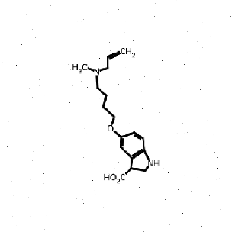 C=CCN(C)CCCCOc1ccc2c(c1)C(C(=O)O)CN2